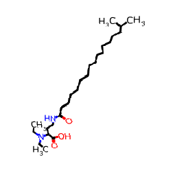 CCN(CC)C(CCNC(=O)CCCCCCCCCCCCCCC(C)C)C(=O)O